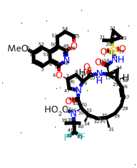 COc1ccc2c(O[C@@H]3C[C@H]4C(=O)N[C@]5(C(=O)NS(=O)(=O)C6(C)CC6)C[C@H]5C=CCC[C@@H](C)C[C@@H](C)[C@H](N(C(=O)O)C(C)(C)C(F)F)C(=O)N4C3)nc3c(c2c1)CCCO3